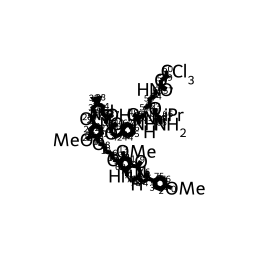 COc1ccc(C2=CN3C(=O)c4cc(OC)c(OCCCOc5cc6c(cc5OC)C(=O)N5CC7(CC7)C[C@H]5C(O)N6C(=O)OCc5ccc(NC(=O)[C@H](CCCCNC(=O)OCC(Cl)(Cl)Cl)NC(=O)[C@@H](N)C(C)C)cc5)cc4NC[C@@H]3C2)cc1